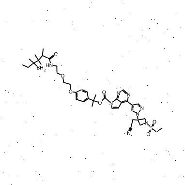 BC(C)(CC)C(C)(C)C(C)C(=O)NCCOCCOc1ccc(C(C)(C)OC(=O)n2ccc3c(-c4cnn(C5(CC#N)CN(S(=O)(=O)CC)C5)c4)ncnc32)cc1